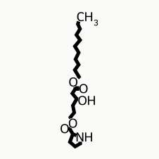 CCCCCCCCCCCOC(=O)CC(O)CCCOC(=O)C1CCCN1